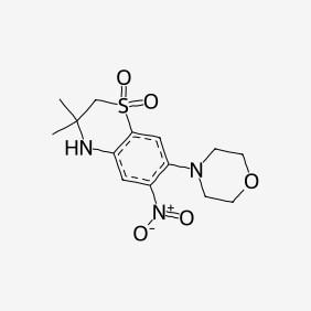 CC1(C)CS(=O)(=O)c2cc(N3CCOCC3)c([N+](=O)[O-])cc2N1